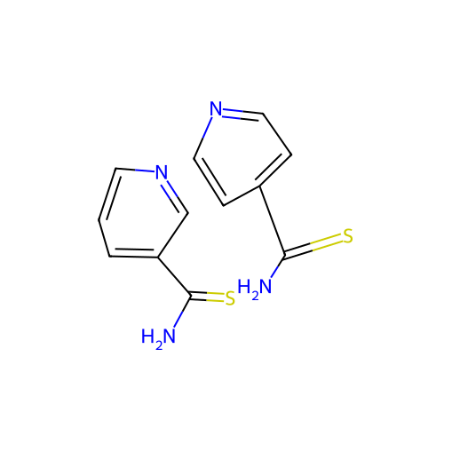 NC(=S)c1cccnc1.NC(=S)c1ccncc1